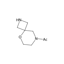 CC(=O)N1CCOC2(CNC2)C1